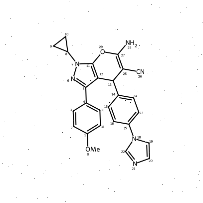 COc1ccc(-c2nn(C3CC3)c3c2C(c2ccc(-n4ccnc4)cc2)C(C#N)=C(N)O3)cc1